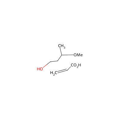 C=CC(=O)O.COC(C)CCO